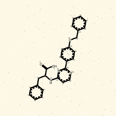 O=C(O)C(Cc1ccccc1)Nc1ccnc(-c2ccc(OCc3ccccc3)cc2)n1